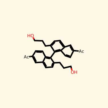 CC(=O)c1ccc2c(-c3c(CCCO)ccc4cc(C(C)=O)ccc34)c(CCCO)ccc2c1